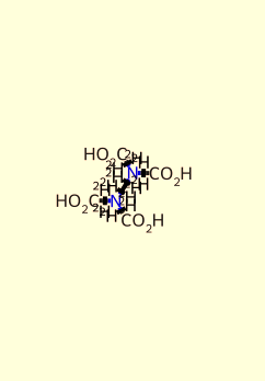 [2H]C([2H])(C(=O)O)N(C([2H])([2H])C(=O)O)C([2H])([2H])C([2H])([2H])N(C([2H])([2H])C(=O)O)C([2H])([2H])C(=O)O